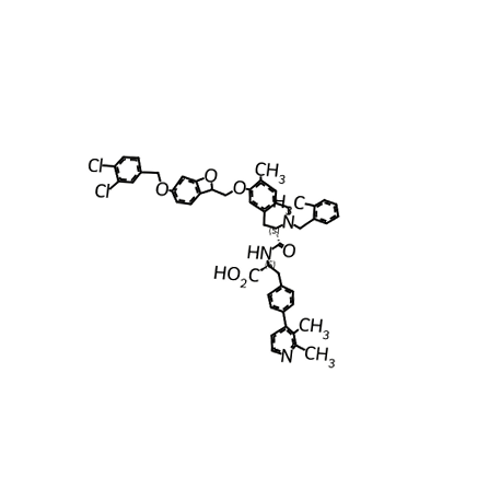 Cc1ccccc1CN1Cc2cc(C)c(OCC3Oc4cc(OCc5ccc(Cl)c(Cl)c5)ccc43)cc2C[C@H]1C(=O)N[C@@H](Cc1ccc(-c2ccnc(C)c2C)cc1)C(=O)O